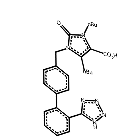 CCCCc1c(C(=O)O)n(CCCC)c(=O)n1Cc1ccc(-c2ccccc2-c2nnn[nH]2)cc1